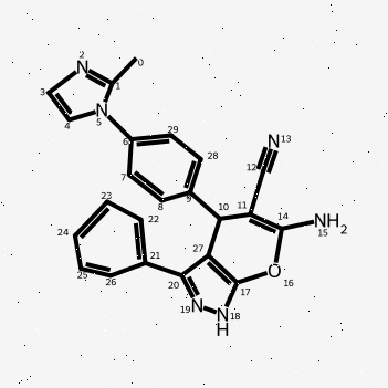 Cc1nccn1-c1ccc(C2C(C#N)=C(N)Oc3[nH]nc(-c4ccccc4)c32)cc1